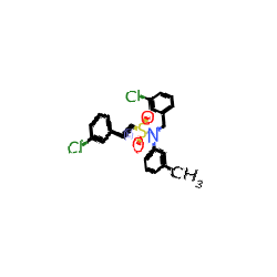 Cc1cccc(N(Cc2cccc(Cl)c2)S(=O)(=O)/C=C/c2cccc(Cl)c2)c1